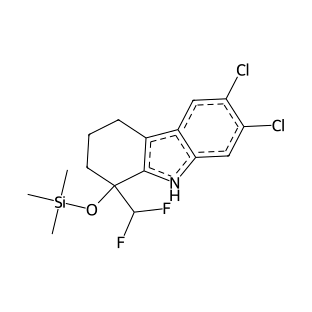 C[Si](C)(C)OC1(C(F)F)CCCc2c1[nH]c1cc(Cl)c(Cl)cc21